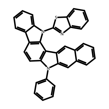 c1ccc(-n2c3cc4ccccc4cc3c3c2ccc2c4ccccc4n(-c4nc5ccccc5s4)c23)cc1